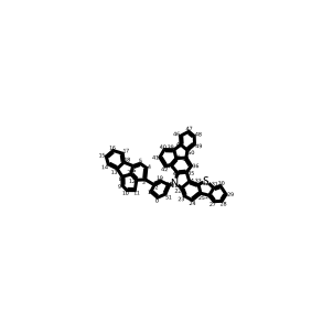 c1cc(-c2ccc3c4c(cccc24)-c2ccccc2-3)cc(-n2c3ccc4c5ccccc5sc4c3c3cc4c5c(cccc5c32)-c2ccccc2-4)c1